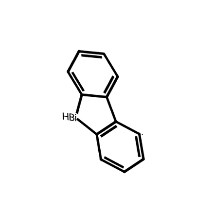 [c]1ccc[c]2c1-c1cccc[c]1[BiH]2